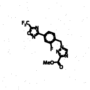 COC(=O)c1ncn(Cc2ccc(-c3noc(C(F)(F)F)n3)cc2F)n1